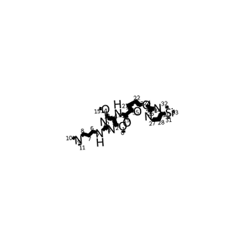 COc1nc(NCCCN(C)C)nc(OC)c1NC(=O)c1ccc(Oc2nccc([Si](C)(C)C)n2)o1